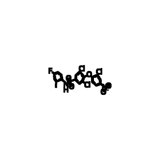 Cc1cc(F)ccc1NS(=O)(=O)c1cc(Cl)c(Oc2ccc([N+](=O)[O-])cc2Cl)c(Cl)c1